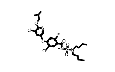 CCCCN(CCCC)S(=O)(=O)NC(=O)c1cc(Cl)c(Oc2cnc(OCC(C)C)c(Cl)c2)cc1F